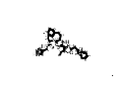 CC[C@H](C)[C@H](NC(=O)Cc1cc2ccccc2o1)C(=O)N[C@H]1CCc2cccc3c2N(C1=O)[C@H](C(=O)NCc1c[nH]nn1)C3